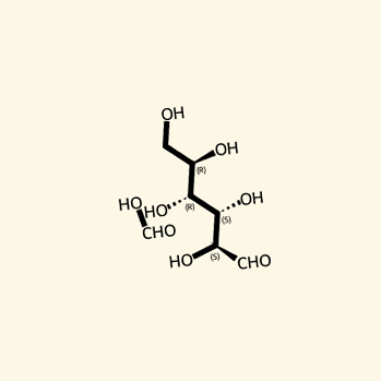 O=CO.O=C[C@@H](O)[C@@H](O)[C@H](O)[C@H](O)CO